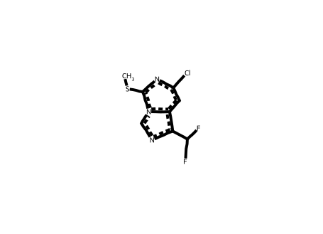 CSc1nc(Cl)cc2c(C(F)F)ncn12